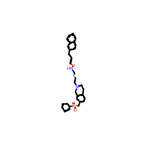 O=S(=O)(Cc1ccc2c(c1)CN(CCCCNO/C=C/Cc1ccc3ccccc3c1)CC2)c1ccccc1